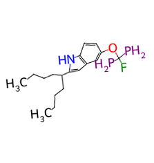 CCCCC(CCCC)c1cc2cc(OC(F)(P)P)ccc2[nH]1